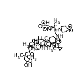 C[C@@H](OCP(=O)(O)O)[C@@H](CN[C@]12CC[C@@H](C3(C)CC3)[C@@H]1[C@H]1CC[C@@H]3[C@@]4(C)CC[C@H](OC(=O)CC(C)(C)CC(=O)O)C(C)(C)[C@@H]4CC[C@@]3(C)[C@]1(C)CC2)N1CCS(=O)(=O)CC1